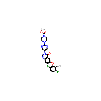 CC(C)(C)OC(=O)N1CCN(c2ncc(-n3cnc4ccc(Oc5c(F)ccc(F)c5C#N)cc4c3=O)cn2)CC1